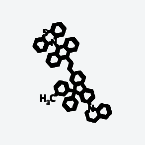 CC1C=CC=C(C2(c3ccccc3)c3cc(/C=C/c4c5ccccc5c(N5c6ccccc6Sc6ccccc65)c5ccccc45)ccc3-c3ccc(N4CCCc5ccccc54)cc32)C1